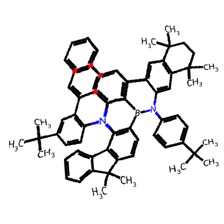 CC(C)(C)c1ccc(N2B3c4ccc5c(c4N(c4ccc(C(C)(C)C)cc4-c4ccccc4)c4cc(-c6ccccc6)cc(c43)-c3cc4c(cc32)C(C)(C)CCC4(C)C)-c2ccccc2C5(C)C)cc1